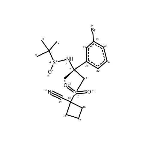 CC(C)(C)[S+]([O-])N[C@@](C)(CS(=O)(=O)C1(C#N)CCC1)c1cccc(Br)c1